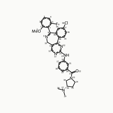 COc1cccc(F)c1C1=NCc2cnc(Nc3cccc(C(=O)N4CC[C@H](N(C)C)C4)c3)nc2-c2ccc(Cl)cc21